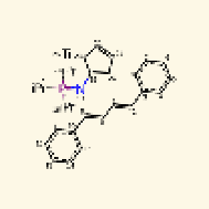 C(C=Cc1ccccc1)=Cc1ccccc1.CC(C)P(=NC1=CC=CC1)(C(C)C)C(C)C.[Ti]